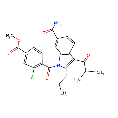 CCCc1c(C(=O)C(C)C)c2ccc(C(N)=O)cc2n1C(=O)c1ccc(C(=O)OC)cc1Cl